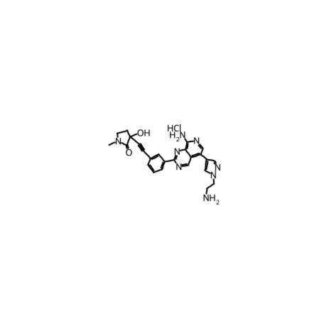 CN1CCC(O)(C#Cc2cccc(-c3ncc4c(-c5cnn(CCN)c5)cnc(N)c4n3)c2)C1=O.Cl